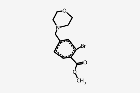 COC(=O)c1ccc(CN2CCOCC2)cc1Br